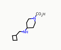 O=C(O)N1CCC(NCC2CCC2)CC1